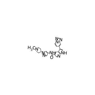 CN1CCC(n2cc(NC(=O)c3cnc4[nH]cc(-c5ccn6ncnc6c5)c4c3)cn2)CC1